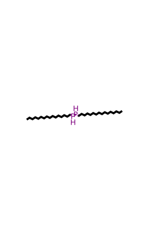 CCCCCCCCCCCCCCCCPPCCCCCCCCCCCCCCCC